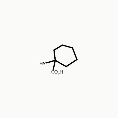 O=C(O)C1(S)CCCCC1